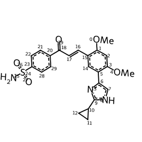 COc1cc(OC)c(-c2c[nH]c(C3CC3)n2)cc1C=CC(=O)c1ccc(S(N)(=O)=O)cc1